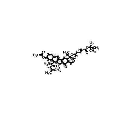 CCC1(OC(=O)CCNC(=O)OC(C)(C)C)C(=O)OCc2c1cc1n(c2=O)Cc2c-1nc1ccc(OC(C)=O)cc1c2[Si](C)(C)CC(C)C